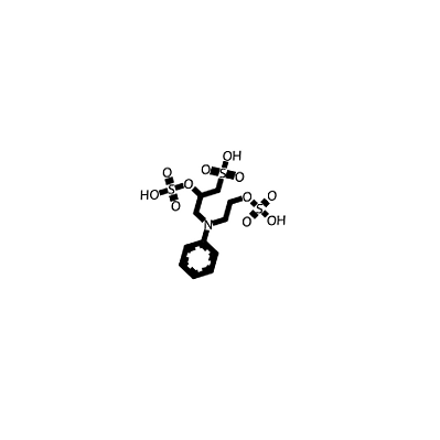 O=S(=O)(O)CC(CN(CCOS(=O)(=O)O)c1ccccc1)OS(=O)(=O)O